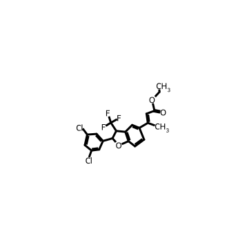 CCOC(=O)C=C(C)c1ccc2c(c1)C(C(F)(F)F)C(c1cc(Cl)cc(Cl)c1)O2